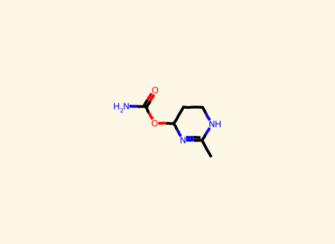 CC1=NC(OC(N)=O)CCN1